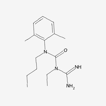 CCCCN(C(=O)N(CC)C(=N)N)c1c(C)cccc1C